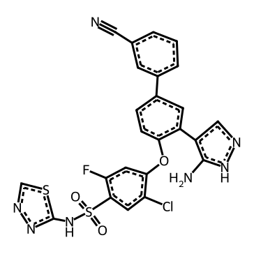 N#Cc1cccc(-c2ccc(Oc3cc(F)c(S(=O)(=O)Nc4nncs4)cc3Cl)c(-c3cn[nH]c3N)c2)c1